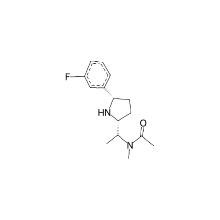 CC(=O)N(C)C(C)[C@H]1CC[C@@H](c2cccc(F)c2)N1